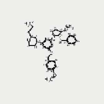 CCCC1CN(c2cc(OCc3ccc(OC)cc3)nc(N3CC[C@@H](OC)[C@@H]3Cc3ccccc3)n2)CCO1